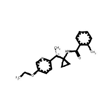 Cc1ccccc1C(=O)NC1([C@@H](C)c2ccc(OCC(F)(F)F)cn2)CC1